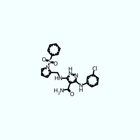 NC(=O)c1c(Nc2cccc(Cl)c2)n[nH]c1NCc1cccn1S(=O)(=O)c1ccccc1